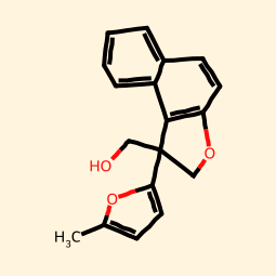 Cc1ccc(C2(CO)COc3ccc4ccccc4c32)o1